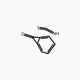 N=C=S.O=c1c2ccccc12